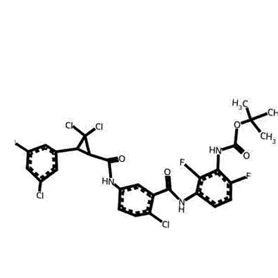 CC(C)(C)OC(=O)Nc1c(F)ccc(NC(=O)c2cc(NC(=O)C3C(c4cc(Cl)cc(Cl)c4)C3(Cl)Cl)ccc2Cl)c1F